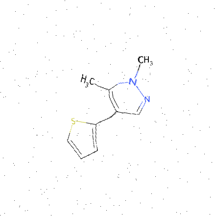 Cc1c(-c2cccs2)cnn1C